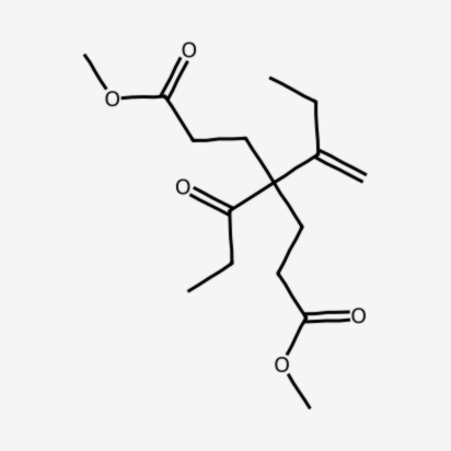 C=C(CC)C(CCC(=O)OC)(CCC(=O)OC)C(=O)CC